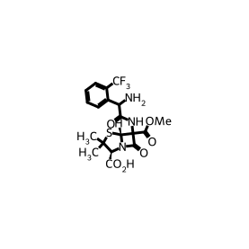 COC(=O)C1(NC(=O)C(N)c2ccccc2C(F)(F)F)C(=O)N2[C@@H](C(=O)O)C(C)(C)S[C@@H]21